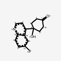 O=C1CCC(O)(c2ccnc3ccc(F)cc23)CC1